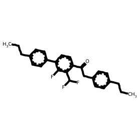 CCCc1ccc(CC(=O)c2ccc(-c3ccc(CCC)cc3)c(F)c2C(F)F)cc1